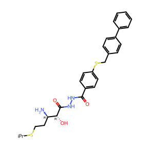 CC(C)SCC[C@@H](N)[C@@H](O)C(=O)NNC(=O)c1ccc(SCc2ccc(-c3ccccc3)cc2)cc1